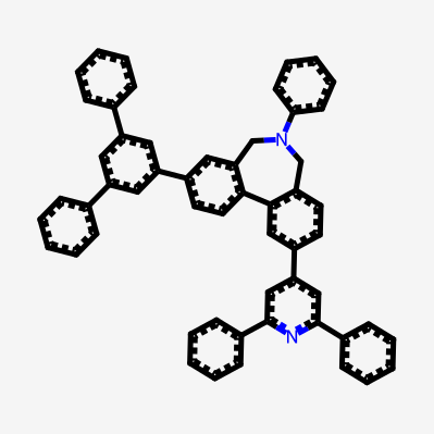 c1ccc(-c2cc(-c3ccccc3)cc(-c3ccc4c(c3)CN(c3ccccc3)Cc3ccc(-c5cc(-c6ccccc6)nc(-c6ccccc6)c5)cc3-4)c2)cc1